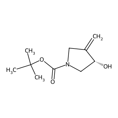 C=C1CN(C(=O)OC(C)(C)C)C[C@H]1O